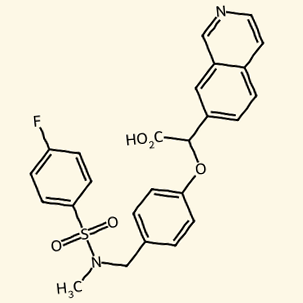 CN(Cc1ccc(OC(C(=O)O)c2ccc3ccncc3c2)cc1)S(=O)(=O)c1ccc(F)cc1